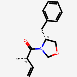 C=C[C@H](C)C(=O)N1COC[C@H]1Cc1ccccc1